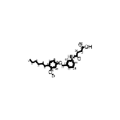 CCCCCCc1ccc(OCc2cccc(NC(=O)CCC(=O)O)c2)cc1OC